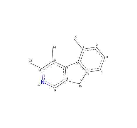 Cc1cccc2c1-c1c(cnc(C)c1C)C2